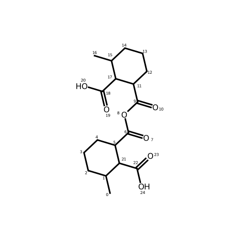 CC1CCCC(C(=O)OC(=O)C2CCCC(C)C2C(=O)O)C1C(=O)O